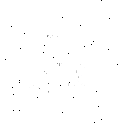 CC(CCN(CCO)CCNc1cc(=O)n(C)c(=O)n1C)c1ccc([N+](=O)[O-])cc1.O=C(O)/C=C/C(=O)O